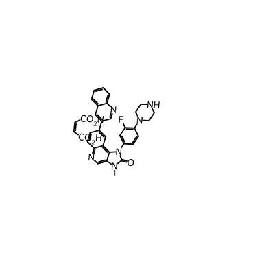 Cn1c(=O)n(-c2ccc(N3CCNCC3)c(F)c2)c2c3cc(-c4cnc5ccccc5c4)ccc3ncc21.O=C(O)/C=C\C(=O)O